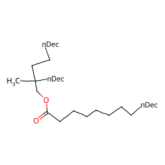 CCCCCCCCCCCCCCCCCC(=O)OCC(C)(CCCCCCCCCC)CCCCCCCCCCCC